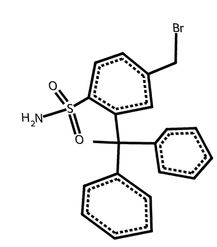 CC(c1ccccc1)(c1ccccc1)c1cc(CBr)ccc1S(N)(=O)=O